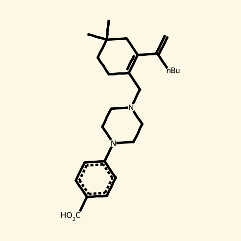 C=C(CCCC)C1=C(CN2CCN(c3ccc(C(=O)O)cc3)CC2)CCC(C)(C)C1